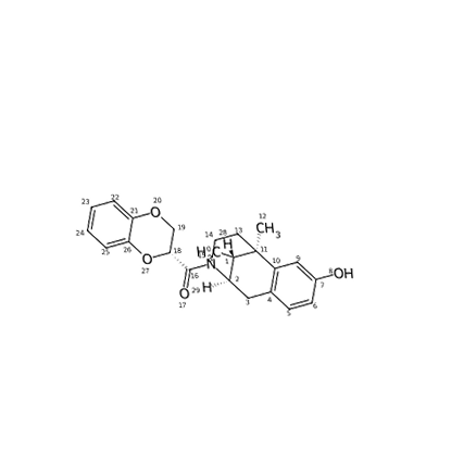 C[C@H]1[C@H]2Cc3ccc(O)cc3[C@]1(C)CCN2C(=O)[C@H]1COc2ccccc2O1